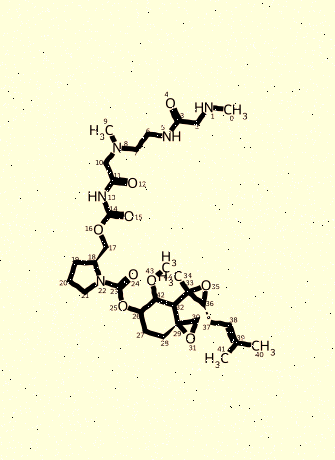 CNCC(=O)NCCN(C)CC(=O)NC(=O)OC[C@@H]1CCCN1C(=O)OC1CC[C@]2(CO2)C(C2(C)O[C@@H]2CC=C(C)C)C1OC